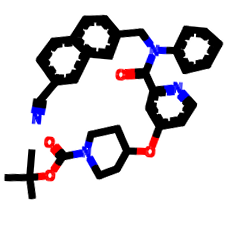 CC(C)(C)OC(=O)N1CCC(Oc2ccnc(C(=O)N(Cc3ccc4ccc(C#N)cc4c3)c3ccccc3)c2)CC1